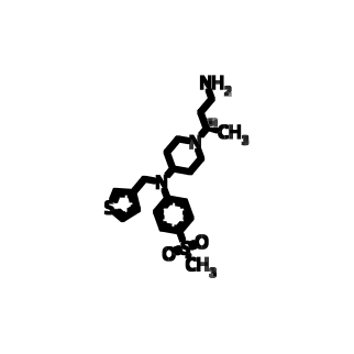 C[C@H](CCN)N1CCC(N(Cc2ccsc2)c2ccc(S(C)(=O)=O)cc2)CC1